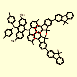 Cc1ccc(N(c2ccc(C)cc2)c2c3cc(C(C)(C)C)ccc3c(N(c3ccc(C)cc3-c3ccc4c(c3)C(C)(C)c3cc(-c5ccc6c(c5)C(C)(C)c5ccccc5-6)ccc3-4)c3ccc(C)cc3-c3ccc4c(c3)C(C)(C)c3cc(-c5ccc6c(c5)C(C)(C)c5ccccc5-6)ccc3-4)c3ccc(C(C)(C)C)cc23)cc1